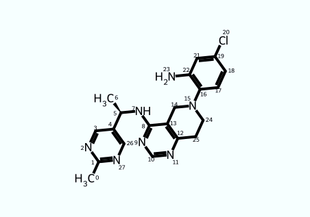 Cc1ncc([C@@H](C)Nc2ncnc3c2CN(c2ccc(Cl)cc2N)CC3)cn1